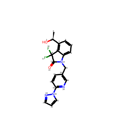 C[C@H](O)c1cccc2c1C(F)(F)C(=O)N2Cc1ccc(-n2cccn2)nc1